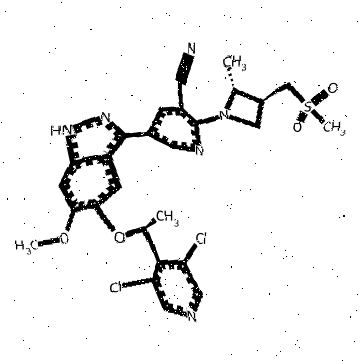 COc1cc2[nH]nc(-c3cnc(N4C[C@H](CS(C)(=O)=O)[C@H]4C)c(C#N)c3)c2cc1O[C@@H](C)c1c(Cl)cncc1Cl